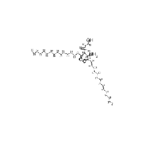 CCCCCCCCCCCCCCCC(=O)C(N)C(C(=O)CCCCCCCCCCCCCCC)C(C)(C)CCO